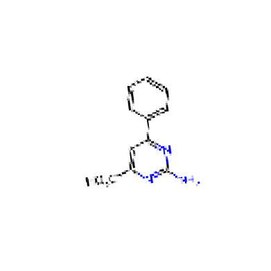 Nc1nc(C(=O)O)cc(-c2ccccc2)n1